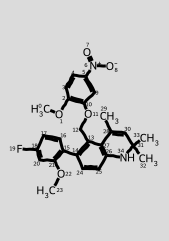 COc1ccc([N+](=O)[O-])cc1OCc1c(-c2ccc(F)cc2OC)ccc2c1C(C)=CC(C)(C)N2